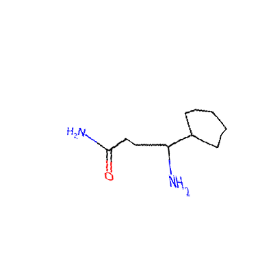 NC(=O)CC(N)C1CCCC1